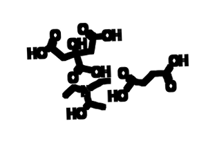 CCN(CC)C(C)O.O=C(O)CC(O)(CC(=O)O)C(=O)O.O=C(O)CCC(=O)O